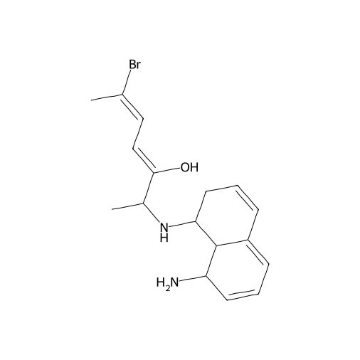 C/C(Br)=C\C=C(/O)C(C)NC1CC=CC2=CC=CC(N)C21